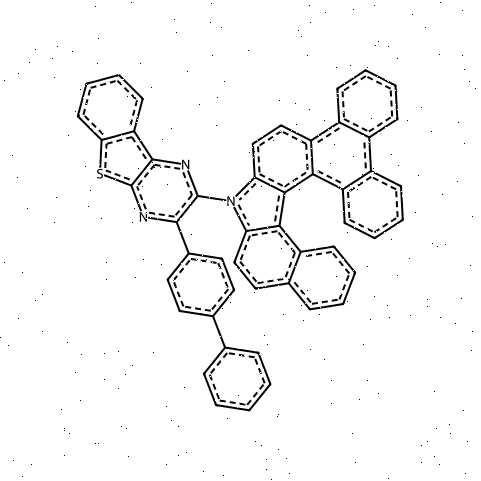 c1ccc(-c2ccc(-c3nc4sc5ccccc5c4nc3-n3c4ccc5ccccc5c4c4c5c6ccccc6c6ccccc6c5ccc43)cc2)cc1